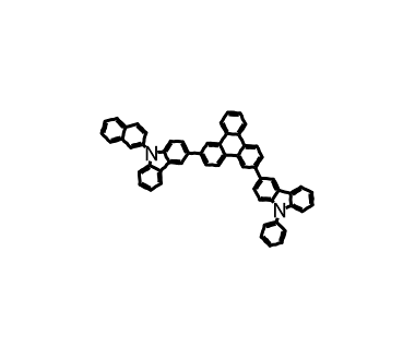 c1ccc(-n2c3ccccc3c3cc(-c4ccc5c6ccccc6c6cc(-c7ccc8c(c7)c7ccccc7n8-c7ccc8ccccc8c7)ccc6c5c4)ccc32)cc1